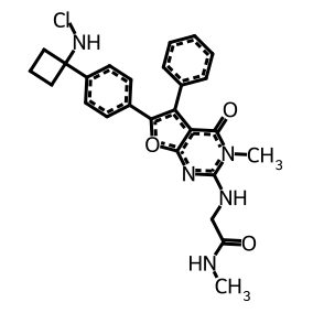 CNC(=O)CNc1nc2oc(-c3ccc(C4(NCl)CCC4)cc3)c(-c3ccccc3)c2c(=O)n1C